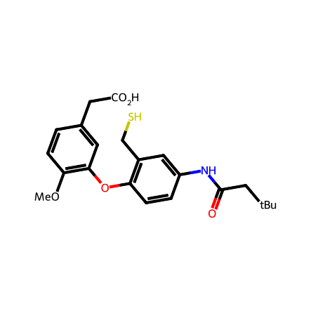 COc1ccc(CC(=O)O)cc1Oc1ccc(NC(=O)CC(C)(C)C)cc1CS